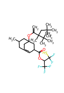 C=C(OC12CC(=CC(C(=O)OC(C(F)(F)F)C(F)(F)S)C1)CC(C)C2)C(C)(CC(C)(C)C)C(C)(C)C